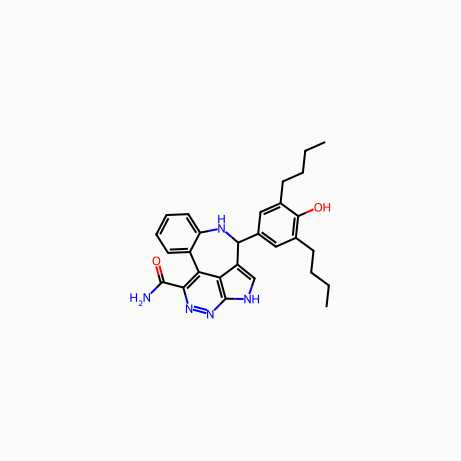 CCCCc1cc(C2Nc3ccccc3-c3c(C(N)=O)nnc4[nH]cc2c34)cc(CCCC)c1O